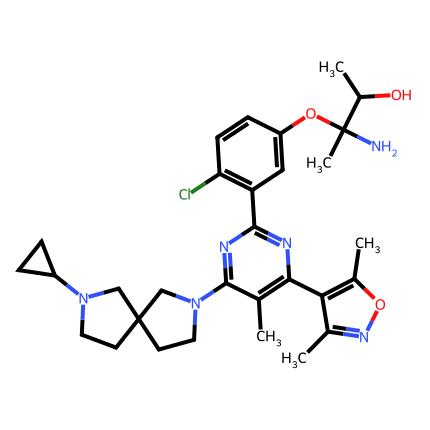 Cc1noc(C)c1-c1nc(-c2cc(OC(C)(N)C(C)O)ccc2Cl)nc(N2CCC3(CCN(C4CC4)C3)C2)c1C